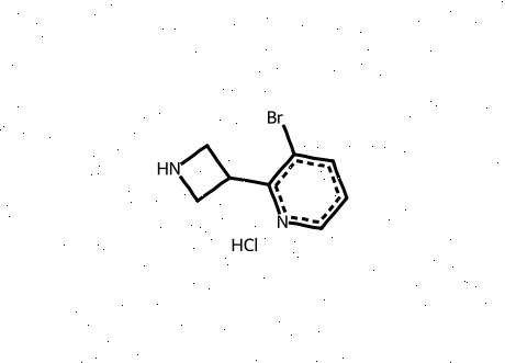 Brc1cccnc1C1CNC1.Cl